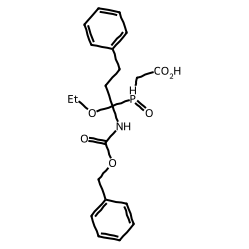 CCOC(CCc1ccccc1)(NC(=O)OCc1ccccc1)[PH](=O)CC(=O)O